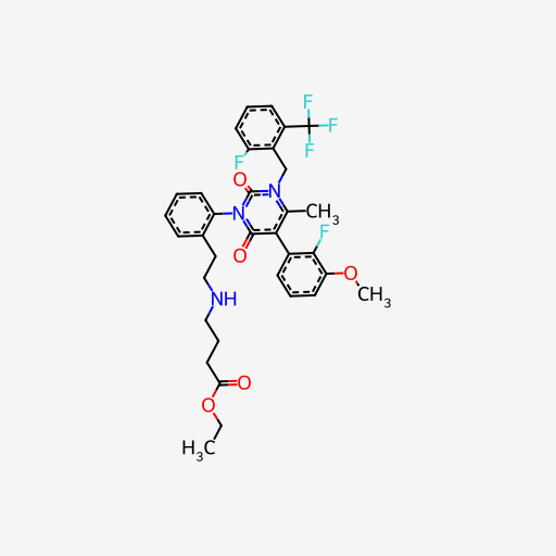 CCOC(=O)CCCNCCc1ccccc1-n1c(=O)c(-c2cccc(OC)c2F)c(C)n(Cc2c(F)cccc2C(F)(F)F)c1=O